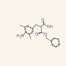 Cc1cc(CC(C(=O)O)C(=O)OCc2ccccc2)cc(C)c1N